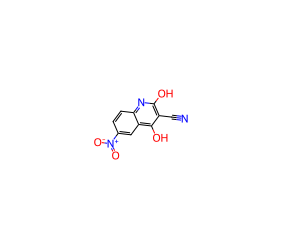 N#Cc1c(O)nc2ccc([N+](=O)[O-])cc2c1O